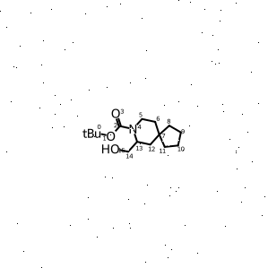 CC(C)(C)OC(=O)N1CCC2(CCCC2)CC1CO